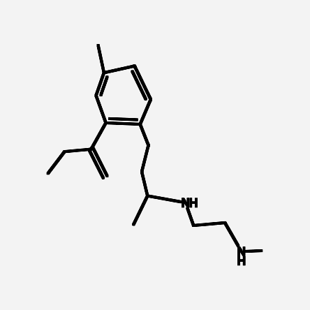 C=C(CC)c1cc(C)ccc1CCC(C)NCCNC